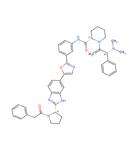 C=C([C@@H](c1ccccc1)N(C)C)N1CCCC[C@H]1C(=O)Nc1cccc(-c2ncc(-c3ccc4nc([C@@H]5CCCN5C(=O)Cc5ccccc5)[nH]c4c3)o2)c1